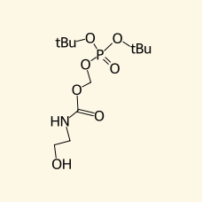 CC(C)(C)OP(=O)(OCOC(=O)NCCO)OC(C)(C)C